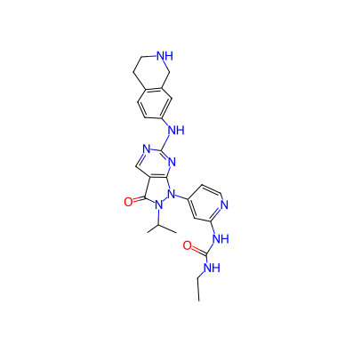 CCNC(=O)Nc1cc(-n2c3nc(Nc4ccc5c(c4)CNCC5)ncc3c(=O)n2C(C)C)ccn1